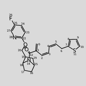 C=C(/C=C\C=C/Cc1cccs1)C(=O)N1C2CCC1C(COc1ccc(F)cn1)C2